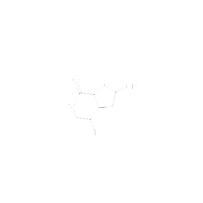 CC1CC2C(=O)OCC(I)C2C1